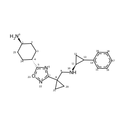 N[C@H]1CC[C@H](c2nc(C3(CN[C@H]4CC4c4ccccc4)CC3)no2)CC1